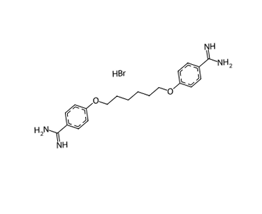 Br.N=C(N)c1ccc(OCCCCCCOc2ccc(C(=N)N)cc2)cc1